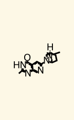 Cc1nc2cnc(N3C[C@H]4CCC3CN4C)cc2c(=O)[nH]1